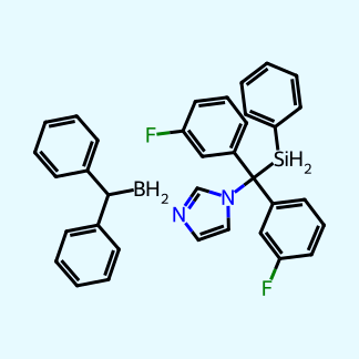 BC(c1ccccc1)c1ccccc1.Fc1cccc(C([SiH2]c2ccccc2)(c2cccc(F)c2)n2ccnc2)c1